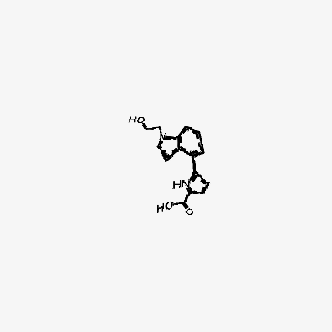 O=C(O)c1ccc(-c2cccc3c2ccn3CCO)[nH]1